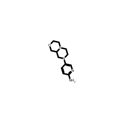 Nc1ccc(N2CCN3CCOCC3C2)cn1